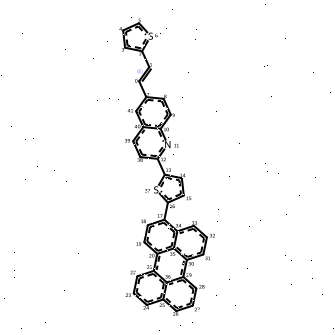 C(=C\c1cccs1)/c1ccc2nc(-c3ccc(-c4ccc5c6cccc7cccc(c8cccc4c85)c76)s3)ccc2c1